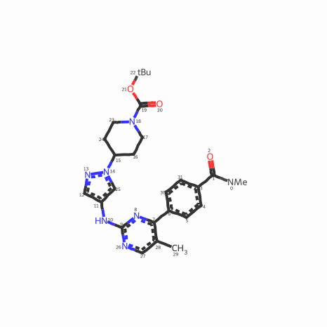 CNC(=O)c1ccc(-c2nc(Nc3cnn(C4CCN(C(=O)OC(C)(C)C)CC4)c3)ncc2C)cc1